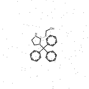 OCC[C@H]1NCCN1C(c1ccccc1)(c1ccccc1)c1ccccc1